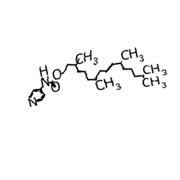 CC(C)CCC[C@@H](C)CCC[C@@H](C)CCCC(C)CCOC(=O)Nc1ccncc1